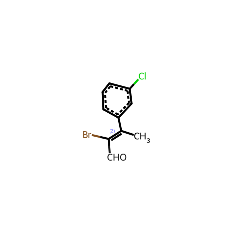 C/C(=C(/Br)C=O)c1cccc(Cl)c1